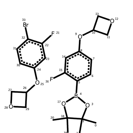 CC1(C)OB(c2ccc(OC3COC3)cc2F)OC1(C)C.Fc1cc(OC2COC2)ccc1Br